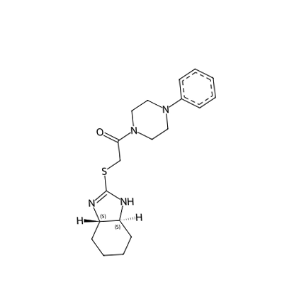 O=C(CSC1=N[C@H]2CCCC[C@@H]2N1)N1CCN(c2ccccc2)CC1